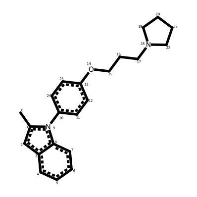 Cc1cc2ccccc2n1-c1ccc(OCCCN2CCCC2)cc1